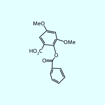 COc1cc(OC)c(OC(=O)c2ccccc2)c(C(=O)O)c1